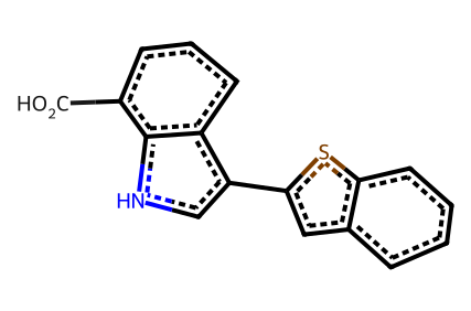 O=C(O)c1cccc2c(-c3cc4ccccc4s3)c[nH]c12